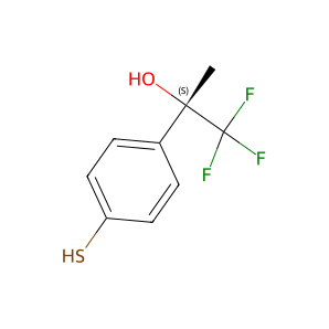 C[C@](O)(c1ccc(S)cc1)C(F)(F)F